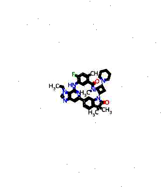 CCn1cnc2cc(-c3ccc4c(c3)N([C@H]3C[C@@H](N5CCCCC5)C3)C(=O)C4(C)C)nc(Nc3cc(C(=O)NC)c(C)cc3F)c21